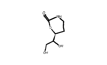 O=C1NCC[C@@H](C(O)CO)O1